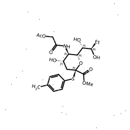 CC[C@@H](O)[C@@H](O)[C@@H]1O[C@](Sc2ccc(C)cc2)(C(=O)OC)C[C@H](O)[C@H]1NC(=O)COC(C)=O